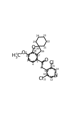 COc1ccc(C(=O)Cc2c(Cl)cncc2Cl)c2c1OC1(CCCCC1)C2